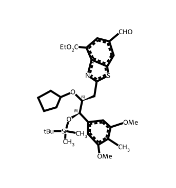 CCOC(=O)c1cc(C=O)cc2sc(C[C@H](OC3CCCC3)[C@H](O[Si](C)(C)C(C)(C)C)c3cc(OC)c(C)c(OC)c3)nc12